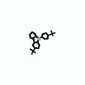 CC(C)(C)c1ccc(-n2c3ccccc3c3cc(C(C)(C)C)ccc32)cc1